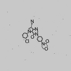 N#Cc1cn(-c2cccc(Cl)c2)c2c(=O)n(-c3ccc(N4CCOCC4=O)cc3)cnc12